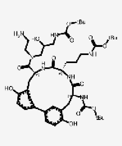 CC(C)(C)OC(=O)NCCC[C@@H]1NC(=O)[C@@H](NC(=O)OC(C)(C)C)Cc2cc(ccc2O)-c2ccc(O)c(c2)C[C@@H](C(=O)N(CCN)CC(O)CNC(=O)OC(C)(C)C)NC1=O